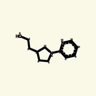 OCCC1CCN(c2ccccn2)C1